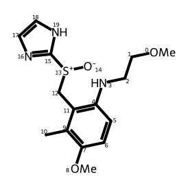 COCCNc1ccc(OC)c(C)c1C[S+]([O-])c1ncc[nH]1